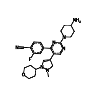 CN1CC(c2cnc(N3CCC(N)CC3)nc2-c2ccc(C#N)c(F)c2)=CN1C1CCOCC1